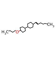 CCCCC=CC1CCC(C2CCC(OCCCC)CC2)CC1